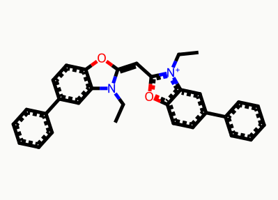 CCN1C(=Cc2oc3ccc(-c4ccccc4)cc3[n+]2CC)Oc2ccc(-c3ccccc3)cc21